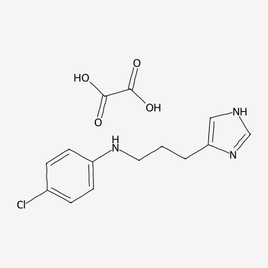 Clc1ccc(NCCCc2c[nH]cn2)cc1.O=C(O)C(=O)O